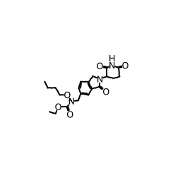 CCCCON(Cc1ccc2c(c1)C(=O)N(C1CCC(=O)NC1=O)C2)C(=O)OCC